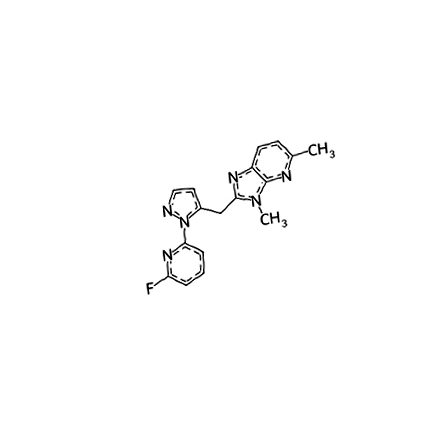 Cc1ccc2nc(Cc3ccnn3-c3cccc(F)n3)n(C)c2n1